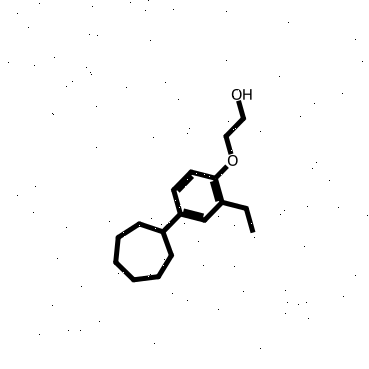 CCc1cc(C2CCCCCC2)ccc1OCCO